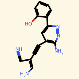 N=C/C(C#Cc1cc(-c2ccccc2O)nnc1N)=C\N